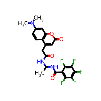 CC(NC(=O)Cc1cc(=O)oc2cc(N(C)C)ccc12)NC(=O)c1c(F)c(F)c(F)c(F)c1F